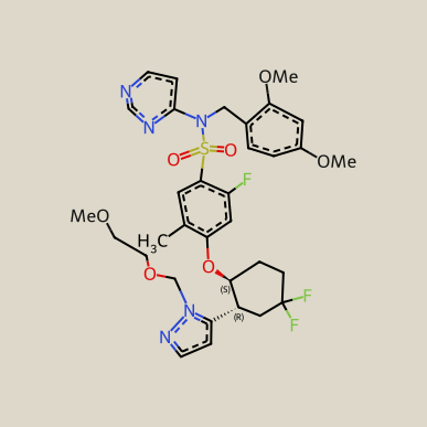 COCCOCn1nccc1[C@H]1CC(F)(F)CC[C@@H]1Oc1cc(F)c(S(=O)(=O)N(Cc2ccc(OC)cc2OC)c2ccncn2)cc1C